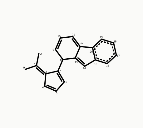 CC(C)=C1C=CC=C1C1C=CC=C2C1=Cc1ccccc12